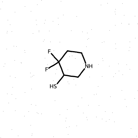 FC1(F)CCNCC1S